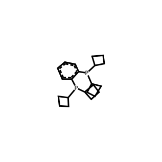 c1ccc(P(C2CCC2)C2CCC2)c(P(C2CCC2)C2CCC2)c1